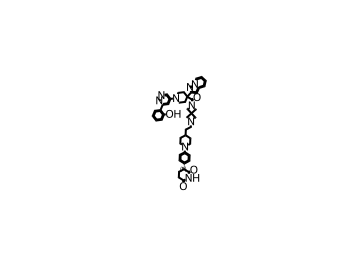 O=C1CC[C@H](c2ccc(N3CCC(CCN4CC5(C4)CN(C(=O)C4(c6cc7ccccn7n6)CCN(c6cnnc(-c7ccccc7O)c6)CC4)C5)CC3)cc2)C(=O)N1